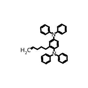 C=CCCCc1cc(N(c2ccccc2)c2ccccc2)ccc1N(c1ccccc1)c1ccccc1